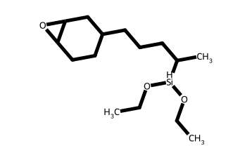 CCO[SiH](OCC)C(C)CCCC1CCC2OC2C1